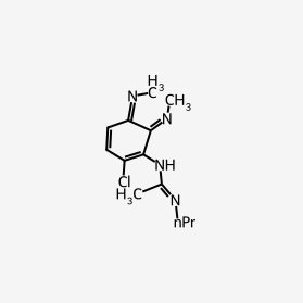 CCC/N=C(\C)NC1=C(Cl)C=CC(=N/C)/C1=N\C